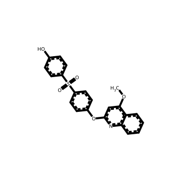 COc1cc(Oc2ccc(S(=O)(=O)c3ccc(O)cc3)cc2)nc2ccccc12